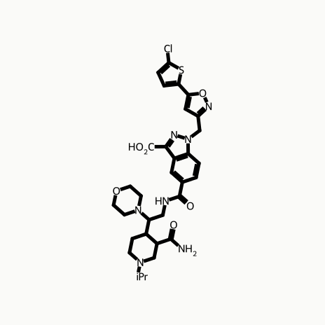 CC(C)N1CCC(C(CNC(=O)c2ccc3c(c2)c(C(=O)O)nn3Cc2cc(-c3ccc(Cl)s3)on2)N2CCOCC2)C(C(N)=O)C1